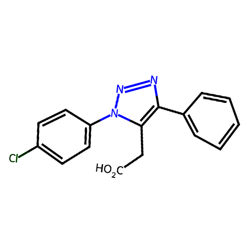 O=C(O)Cc1c(-c2ccccc2)nnn1-c1ccc(Cl)cc1